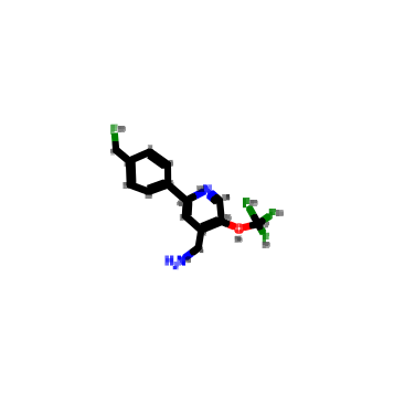 NCc1cc(-c2ccc(CF)cc2)ncc1OC(F)(F)F